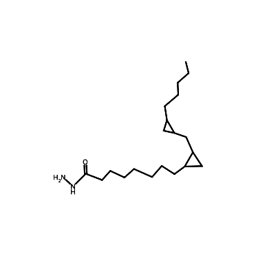 CCCCCC1CC1CC1CC1CCCCCCCC(=O)NN